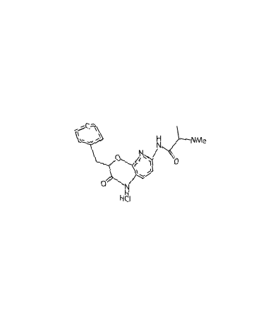 CNC(C)C(=O)Nc1ccc2c(n1)OC(Cc1ccccc1)C(=O)N2.Cl